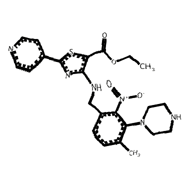 CCOC(=O)c1sc(-c2ccncc2)nc1NCc1ccc(C)c(N2CCNCC2)c1[N+](=O)[O-]